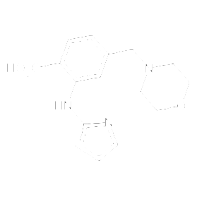 O=C(O)c1ccc(CN2CCOCC2)cc1Nc1nccs1